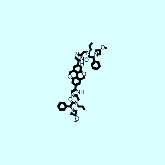 CCCN(Cc1ncc(-c2cc3c4c(c2)OCc2cc(-c5cnc(CN(CCC)C(=O)C(c6ccccc6)N6CC(OC)C6)[nH]5)cc(c2-4)OC3)[nH]1)C(=O)C(c1ccccc1)N1CC(OC)C1